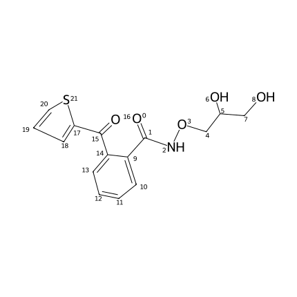 O=C(NOCC(O)CO)c1ccccc1C(=O)c1cccs1